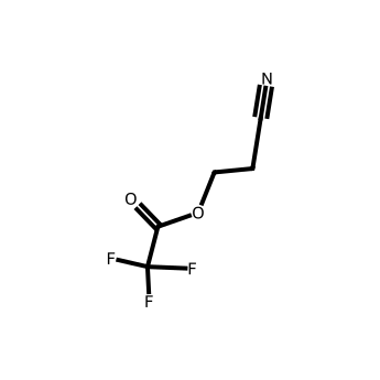 N#CCCOC(=O)C(F)(F)F